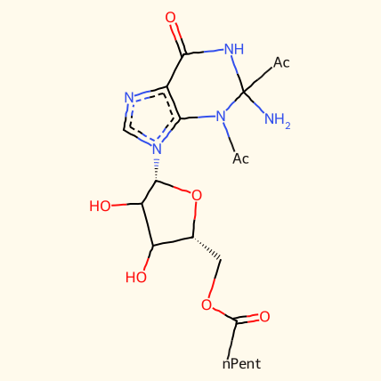 CCCCCC(=O)OC[C@H]1O[C@@H](n2cnc3c2N(C(C)=O)C(N)(C(C)=O)NC3=O)C(O)C1O